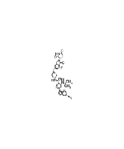 CC(C)Nc1cc(-n2ccc3cc(C#N)cnc32)ncc1C(=O)NC1CCN(Cc2cc(F)c3c(c2)CN(C2CCC(=O)NC2=O)C3=O)CC1